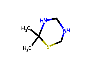 CC1(C)NCNCS1